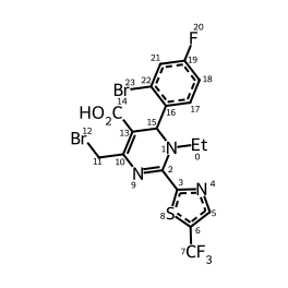 CCN1C(c2ncc(C(F)(F)F)s2)=NC(CBr)=C(C(=O)O)C1c1ccc(F)cc1Br